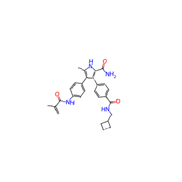 C=C(C)C(=O)Nc1ccc(-c2c(C)[nH]c(C(N)=O)c2-c2ccc(C(=O)NCC3CCC3)cc2)cc1